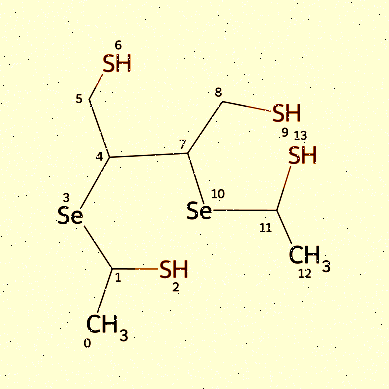 CC(S)[Se]C(CS)C(CS)[Se]C(C)S